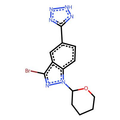 Brc1nn(C2CCCCO2)c2ccc(-c3nn[nH]n3)cc12